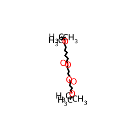 CC(C)(C)OCCCCCCC(=O)OCCCCOC(=O)CCCOC(C)(C)C